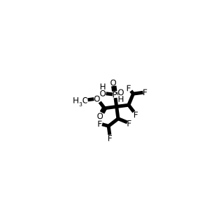 COC(=O)C(C(F)C(F)F)(C(F)C(F)F)P(=O)(O)O